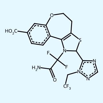 NC(=O)C(F)(F)N1C2=C(CCOc3cc(C(=O)O)ccc32)SC1c1ncnn1CC(F)(F)F